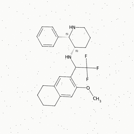 COc1cc2c(cc1C(N[C@H]1CCCN[C@H]1c1ccccc1)C(F)(F)F)CCCC2